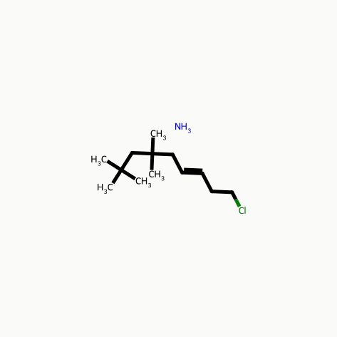 CC(C)(C)CC(C)(C)CC=CCCCl.N